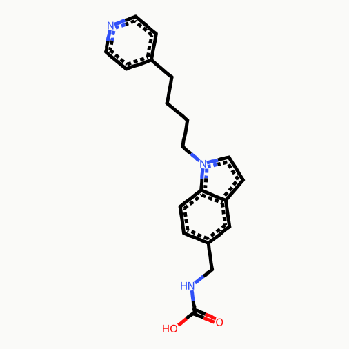 O=C(O)NCc1ccc2c(ccn2CCCCc2ccncc2)c1